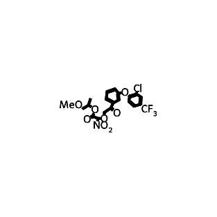 COCC(C)OC(=O)C(OCC(=O)c1cccc(Oc2ccc(C(F)(F)F)cc2Cl)c1)[N+](=O)[O-]